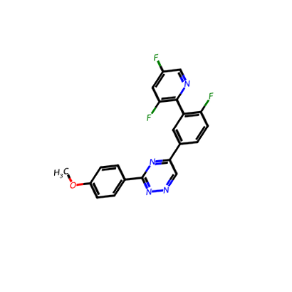 COc1ccc(-c2nncc(-c3ccc(F)c(-c4ncc(F)cc4F)c3)n2)cc1